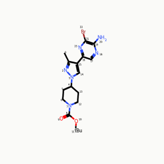 Cc1nn(C2CCN(C(=O)OC(C)(C)C)CC2)cc1-c1cnc(N)c(Br)n1